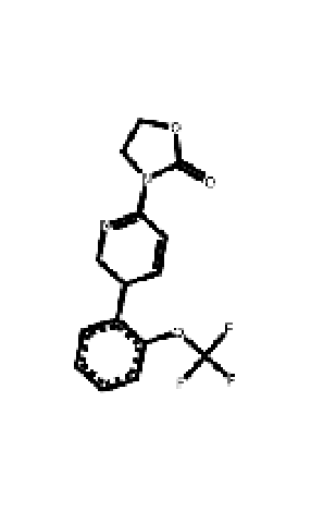 O=C1OCCN1C1=NCC(c2ccccc2OC(F)(F)F)C=C1